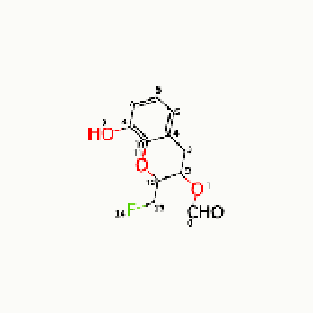 O=COC1Cc2cccc(O)c2OC1CF